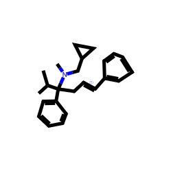 CC(C)C(C/C=C/c1ccccc1)(c1ccccc1)N(C)CC1CC1